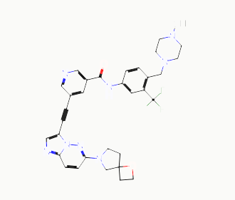 CN1CCN(Cc2ccc(NC(=O)c3cncc(C#Cc4cnc5ccc(N6CCC7(CCO7)C6)nn45)c3)cc2C(F)(F)F)CC1